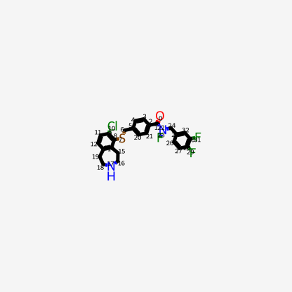 O=C(c1ccc(CSc2c(Cl)ccc3c2CCNCC3)cc1)N(F)Cc1ccc(F)c(F)c1